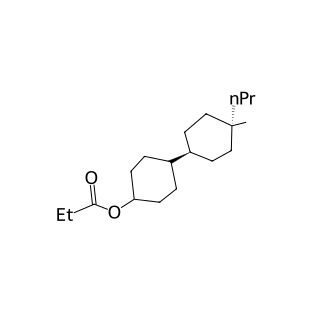 CCC[C@]1(C)CC[C@@H](C2CCC(OC(=O)CC)CC2)CC1